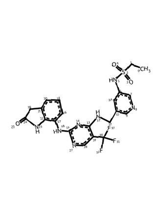 CCS(=O)(=O)Nc1cncc(CNc2nc(Nc3cccc4c3NC(=O)C4)ncc2C(F)(F)F)c1